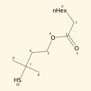 CCCCCCCC(=O)OCCC(C)(C)S